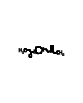 CCNCCN1CCN(C(=O)CC)CC1